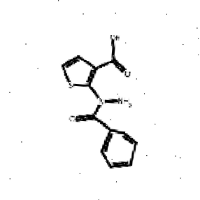 NN(C(=O)c1ccccc1)c1sccc1C(=O)O